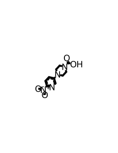 O=C(O)N1CCN(c2ccc([N+](=O)[O-])nc2)CC1